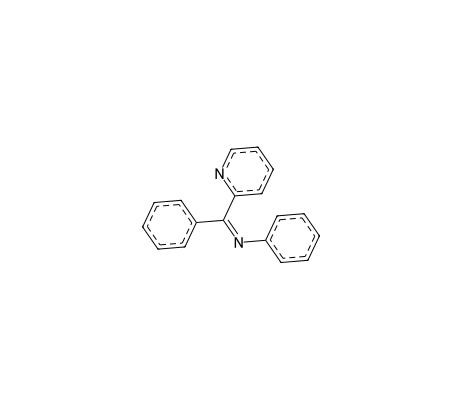 c1ccc(N=C(c2ccccc2)c2ccccn2)cc1